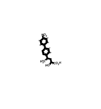 CC(CC(O)C(=O)O)c1ccc(-c2ccc([N+](=O)[O-])cc2)cc1